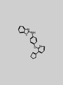 C1=C(c2cccnc2Oc2ccc(Nc3nc4ccccc4s3)cc2)CCC1